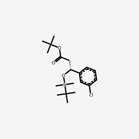 CC(C)(C)OC(=O)[CH][C@@H](O[Si](C)(C)C(C)(C)C)c1cccc(Cl)c1